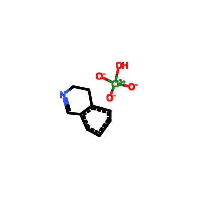 C1=NCCc2ccccc21.[O-][Cl+3]([O-])([O-])O